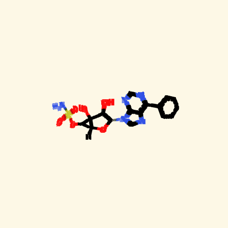 NS(=O)(=O)OC1[C@H]2O[C@@H](n3cnc4c(-c5ccccc5)ncnc43)[C@H](O)[C@@]12O